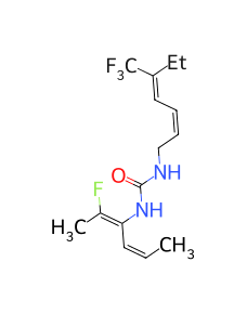 C/C=C\C(NC(=O)NC/C=C\C=C(/CC)C(F)(F)F)=C(/C)F